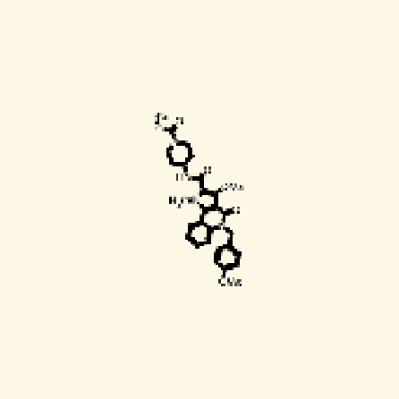 COc1ccc(Cn2c(=O)c3c(OC)c(C(=O)NC4CCN(C(=O)OC(C)(C)C)CC4)n(C)c3c3ccccc32)cc1